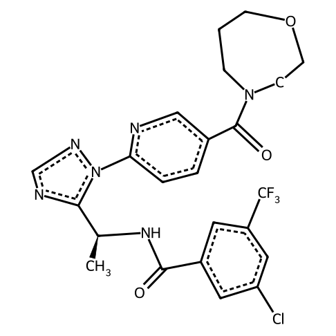 C[C@H](NC(=O)c1cc(Cl)cc(C(F)(F)F)c1)c1ncnn1-c1ccc(C(=O)N2CCCOCC2)cn1